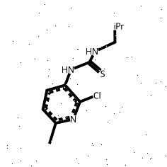 Cc1ccc(NC(=S)NCC(C)C)c(Cl)n1